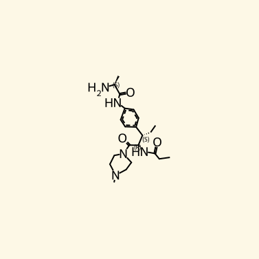 CCC(=O)N[C@@H](C(=O)N1CCN(C)CC1)[C@@H](CC)c1ccc(NC(=O)[C@H](C)N)cc1